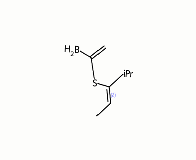 BC(=C)S/C(=C\C)C(C)C